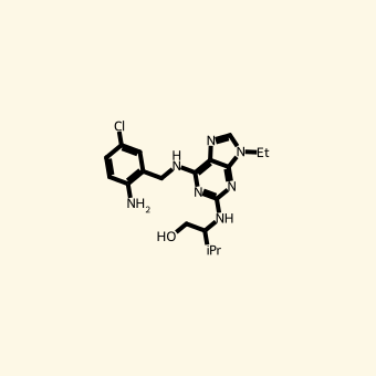 CCn1cnc2c(NCc3cc(Cl)ccc3N)nc(NC(CO)C(C)C)nc21